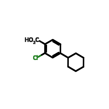 O=C(O)c1ccc(C2CCCCC2)cc1Cl